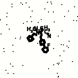 CC#N.CCC(CCc1ccc(C2CCCCC2F)cc1)N(CC)CCc1ccccc1